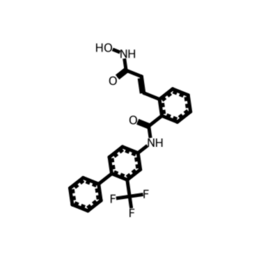 O=C(/C=C/c1ccccc1C(=O)Nc1ccc(-c2ccccc2)c(C(F)(F)F)c1)NO